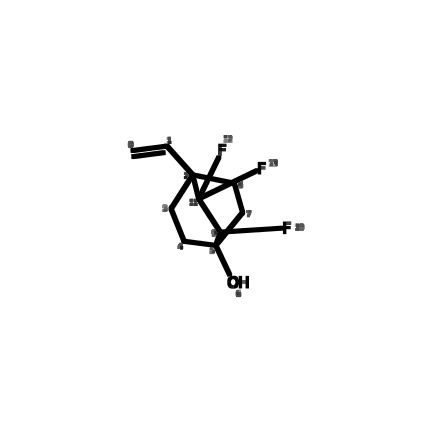 C=CC12CCC(O)(CC1)C(F)C2(F)F